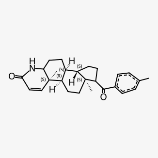 Cc1ccc(C(=O)C2CC[C@H]3[C@@H]4CCC5NC(=O)C=C[C@]5(C)[C@@H]4CC[C@]23C)cc1